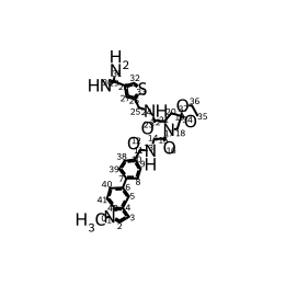 Cn1ccc2cc(-c3ccc(C(=O)NCC(=O)N4CC5(CC4C(=O)NCc4cc(C(=N)N)cs4)OCCO5)cc3)ccc21